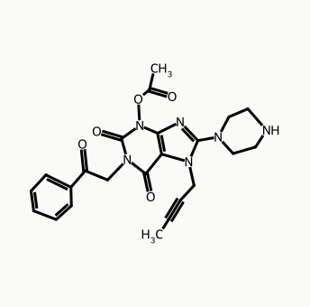 CC#CCn1c(N2CCNCC2)nc2c1c(=O)n(CC(=O)c1ccccc1)c(=O)n2OC(C)=O